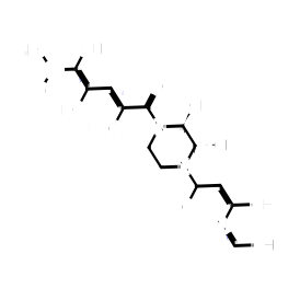 C/C=N\C(C)=C/C(C)N1CCN(C(=O)/C(C)=C/C(C)=C(\C)[S+]([O-])CCC)[C@@H](C)[C@@H]1C